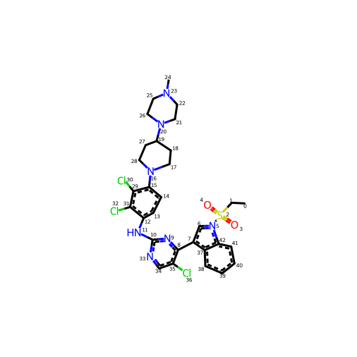 CCS(=O)(=O)n1cc(-c2nc(Nc3ccc(N4CCC(N5CCN(C)CC5)CC4)c(Cl)c3Cl)ncc2Cl)c2ccccc21